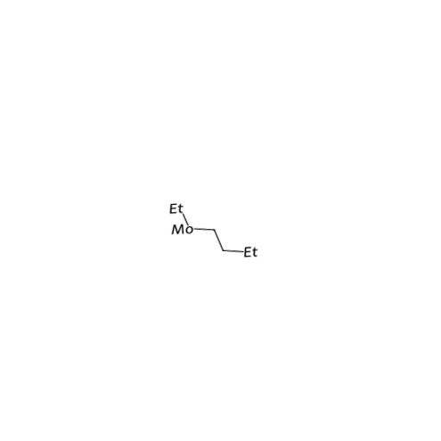 CCC[CH2][Mo][CH2]C